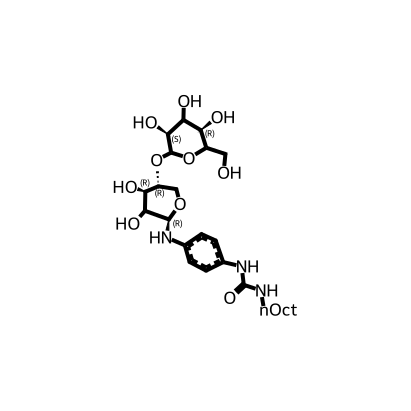 CCCCCCCCNC(=O)Nc1ccc(N[C@@H]2OC[C@@H](OC3OC(CO)[C@H](O)C(O)[C@@H]3O)[C@H](O)C2O)cc1